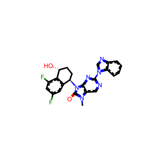 Cn1c(=O)n([C@@H]2CC[C@@H](O)c3c(F)cc(F)cc32)c2nc(-n3cnc4ccccc43)ncc21